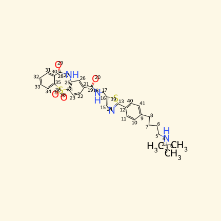 CC(C)(C)NCCCCc1ccc(-c2ncc(CNC(=O)c3ccc4c(c3)NC(=O)c3ccccc3S4(=O)=O)s2)cc1